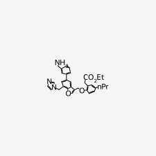 CCCc1ccc(OCc2coc3c(Cn4ccnc4)cc(-c4cccc(CN)c4)cc23)c(CC(=O)OCC)c1